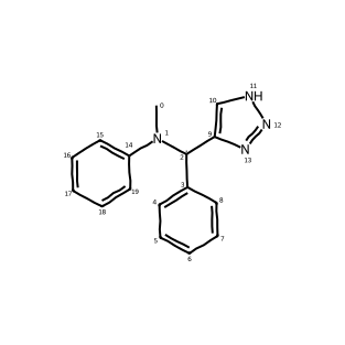 CN([C](c1ccccc1)c1c[nH]nn1)c1ccccc1